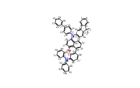 CC1(C)c2ccccc2-c2cc(N(c3ccc(-c4ccccc4)cc3)c3ccc4c5c(cccc35)-c3cccc(N(c5ccccc5)c5ccccc5)c3O4)ccc21